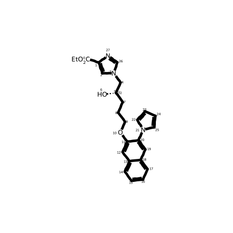 CCOC(=O)c1cn(C[C@@H](O)CCCOc2cc3ccccc3cc2-n2cccc2)cn1